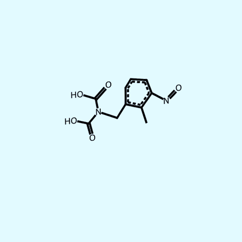 Cc1c(CN(C(=O)O)C(=O)O)cccc1N=O